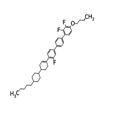 C=CCCOc1ccc(-c2ccc(-c3ccc(C4=CCC(C5CCC(CCCCC)CC5)CC4)c(F)c3)cc2)c(F)c1F